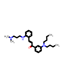 CCCCN(CCCC)c1cccc(C(=O)C=Cc2ccccc2NCCCN(C)C)c1